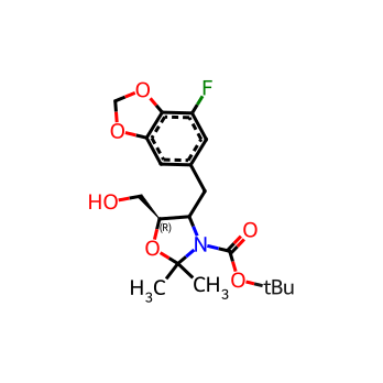 CC(C)(C)OC(=O)N1C(Cc2cc(F)c3c(c2)OCO3)[C@H](CO)OC1(C)C